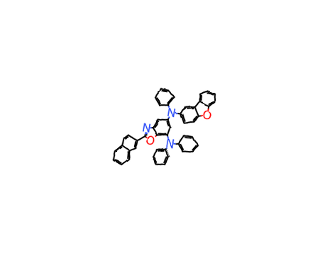 c1ccc(N(c2cc(N(c3ccccc3)c3ccccc3)c3oc(-c4ccc5ccccc5c4)nc3c2)c2ccc3oc4ccccc4c3c2)cc1